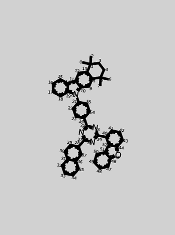 CC1(C)CCC(C)(C)c2cc3c(cc21)c1ccccc1n3-c1ccc(-c2nc(-c3ccc4ccccc4c3)nc(-c3cccc4oc5ccccc5c34)n2)cc1